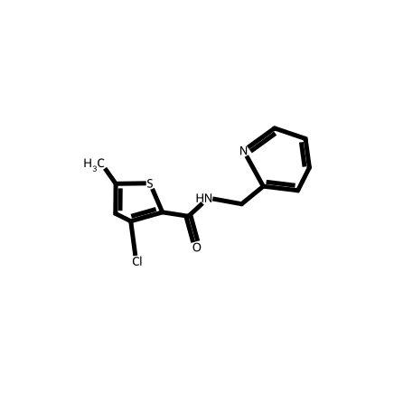 Cc1cc(Cl)c(C(=O)NCc2ccccn2)s1